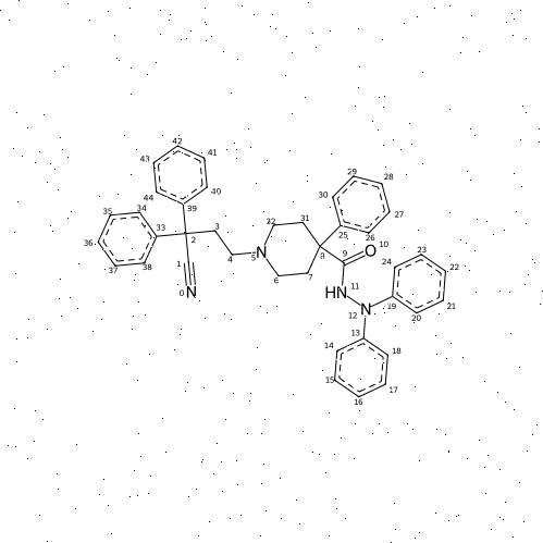 N#CC(CCN1CCC(C(=O)NN(c2ccccc2)c2ccccc2)(c2ccccc2)CC1)(c1ccccc1)c1ccccc1